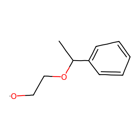 CC(OCC[O])c1ccccc1